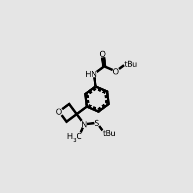 CN(SC(C)(C)C)C1(c2cccc(NC(=O)OC(C)(C)C)c2)COC1